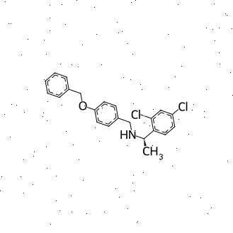 C[C@@H](NCc1ccc(OCc2ccccc2)cc1)c1ccc(Cl)cc1Cl